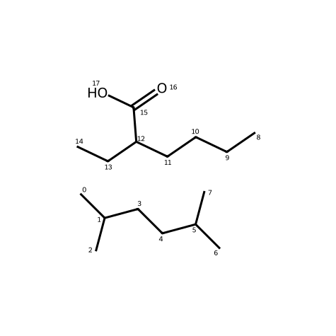 CC(C)CCC(C)C.CCCCC(CC)C(=O)O